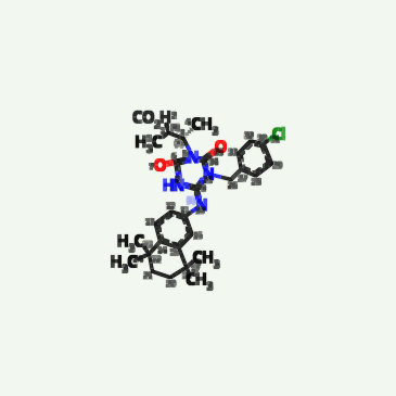 C[C@@H](C(=O)O)[C@H](C)n1c(=O)[nH]/c(=N\c2ccc3c(c2)C(C)(C)CCC3(C)C)n(Cc2ccc(Cl)cc2)c1=O